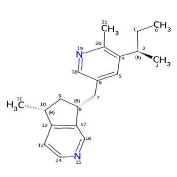 CC[C@@H](C)c1cc(C[C@H]2C[C@@H](C)c3ccncc32)cnc1C